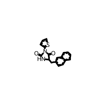 O=C1NC(Cc2ccc3ccccc3c2)C(=O)N1c1cccs1